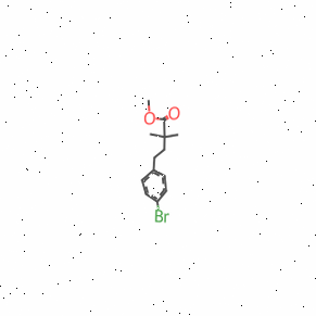 COC(=O)C(C)(C)CCc1ccc(Br)cc1